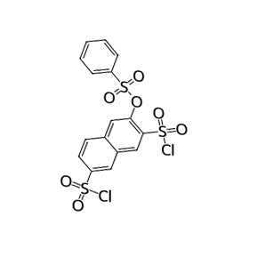 O=S(=O)(Cl)c1ccc2cc(OS(=O)(=O)c3ccccc3)c(S(=O)(=O)Cl)cc2c1